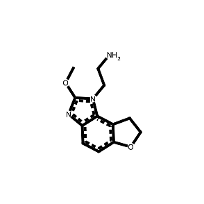 COc1nc2ccc3c(c2n1CCN)CCO3